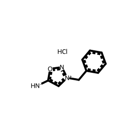 Cl.[NH-]c1c[n+](Cc2ccccc2)no1